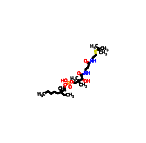 CCCCCC(C)(CC)COP(=O)(O)OCC(C)(C)C(O)C(=O)NCCC(=O)NCCSC(C)(C)C